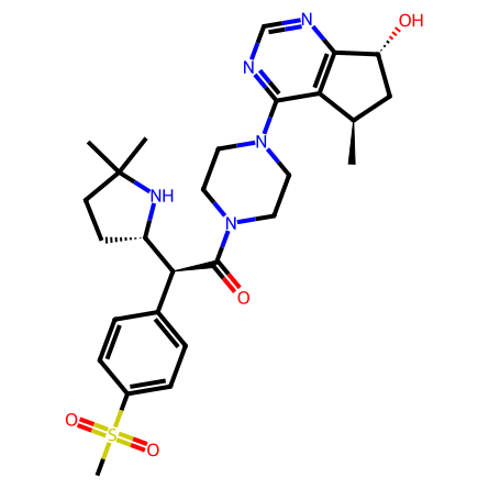 C[C@@H]1C[C@@H](O)c2ncnc(N3CCN(C(=O)[C@@H](c4ccc(S(C)(=O)=O)cc4)[C@@H]4CCC(C)(C)N4)CC3)c21